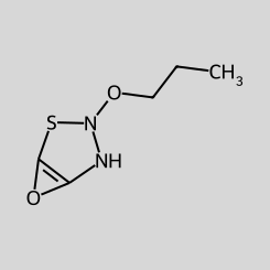 CCCOn1[nH]c2oc=2s1